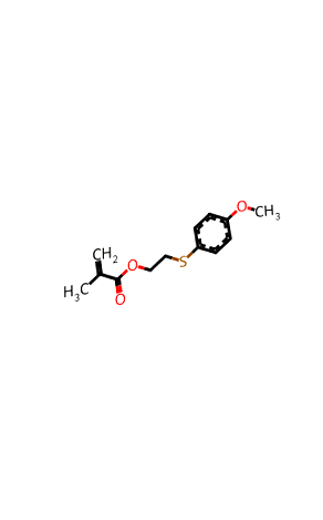 C=C(C)C(=O)OCCSc1ccc(OC)cc1